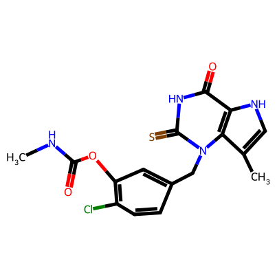 CNC(=O)Oc1cc(Cn2c(=S)[nH]c(=O)c3[nH]cc(C)c32)ccc1Cl